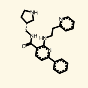 O=C(NC[C@@H]1CCNC1)c1ccc(-c2ccccc2)nc1NCCc1ccccn1